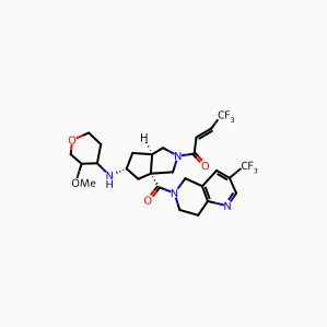 COC1COCCC1N[C@@H]1C[C@H]2CN(C(=O)/C=C/C(F)(F)F)C[C@@]2(C(=O)N2CCc3ncc(C(F)(F)F)cc3C2)C1